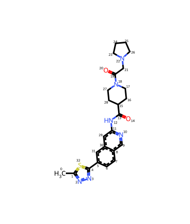 Cc1nnc(-c2ccc3cnc(NC(=O)C4CCN(C(=O)CN5CCCC5)CC4)cc3c2)s1